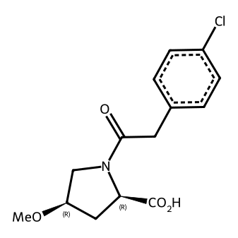 CO[C@@H]1C[C@H](C(=O)O)N(C(=O)Cc2ccc(Cl)cc2)C1